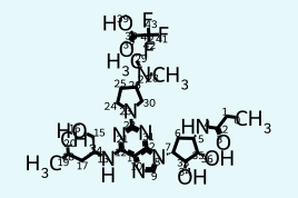 CCC(=O)N[C@H]1C[C@@H](n2cnc3c(N[C@H](CO)CC(C)C)nc(N4CC[C@@H](N(C)C)C4)nc32)[C@H](O)[C@@H]1O.O=C(O)C(F)(F)F